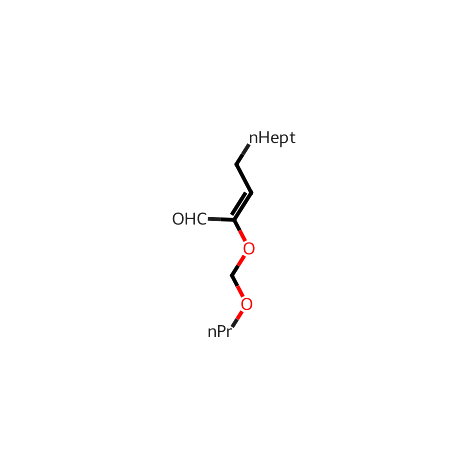 CCCCCCCC/C=C(\C=O)OCOCCC